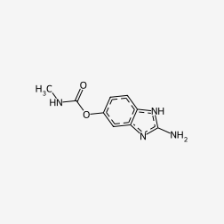 CNC(=O)Oc1ccc2[nH]c(N)nc2c1